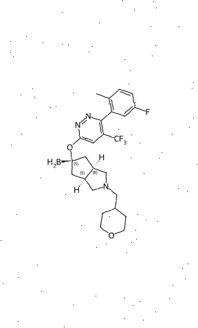 B[C@@]1(Oc2cc(C(F)(F)F)c(-c3cc(F)ccc3C)nn2)C[C@H]2CN(CC3CCOCC3)C[C@H]2C1